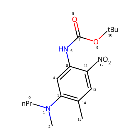 CCCN(C)c1cc(NC(=O)OC(C)(C)C)c([N+](=O)[O-])cc1C